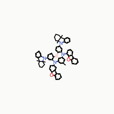 Cc1cc2c3c(c1)N(c1cccc4c1oc1ccccc14)c1cc(N4c5ccccc5C5(C)CCCCC45C)ccc1B3c1ccc(N3c4ccccc4C4(C)CCCCC34C)cc1N2c1ccc2oc3ccccc3c2c1